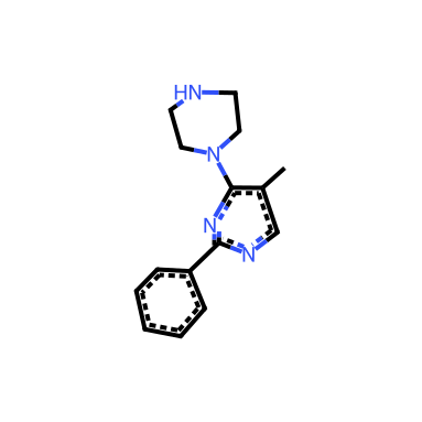 Cc1cnc(-c2ccccc2)nc1N1CCNCC1